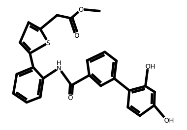 COC(=O)Cc1ccc(-c2ccccc2NC(=O)c2cccc(-c3ccc(O)cc3O)c2)s1